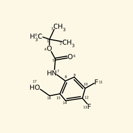 CC(C)(C)OC(=O)Nc1cc(F)c(F)cc1CO